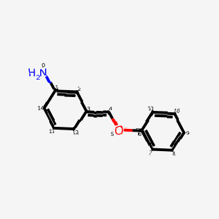 NC1=CC(=COc2ccccc2)CC=C1